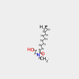 [CH2]CN(CCO)C(=O)CCCCCCCCCCC